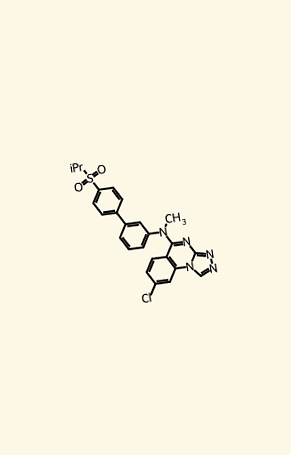 CC(C)S(=O)(=O)c1ccc(-c2cccc(N(C)c3nc4nncn4c4cc(Cl)ccc34)c2)cc1